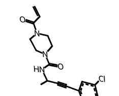 C=CC(=O)N1CCN(C(=O)NC(C)C#Cc2ccc(C)c(Cl)c2)CC1